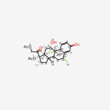 CC(=O)OCC(=O)[C@]1(OC(C)=O)[C@@H](C)C[C@H]2[C@@H]3C[C@H](F)C4=CC(=O)C=C[C@]4(C)[C@@]3(F)[C@@H](O)C[C@@]21C